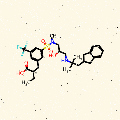 CC[C@H](Cc1cc(C(F)(F)F)cc(S(=O)(=O)N(C)CC(O)CNC(C)(C)CC2Cc3ccccc3C2)c1)C(=O)O